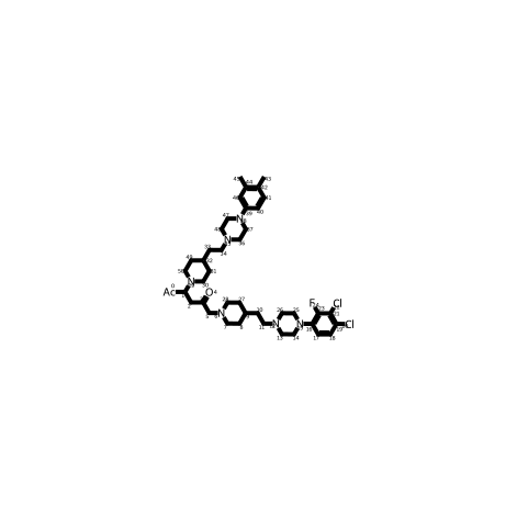 CC(=O)C(CC(=O)CN1CCC(CCN2CCN(c3ccc(Cl)c(Cl)c3F)CC2)CC1)N1CCC(CCN2CCN(c3ccc(C)c(C)c3)CC2)CC1